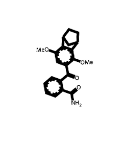 COc1cc(C(=O)c2ccccc2C(N)=O)c(OC)c2c1C1CCC2C1